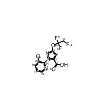 O=C(O)c1cc(OC(F)(F)CF)nn1-c1ncccc1Cl